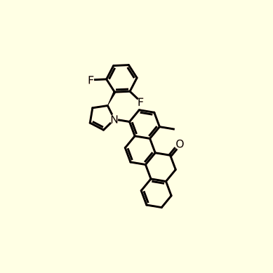 Cc1ccc(N2C=CC[C@H]2c2c(F)cccc2F)c2ccc3c(c12)C(=O)CC1=C3C=CCC1